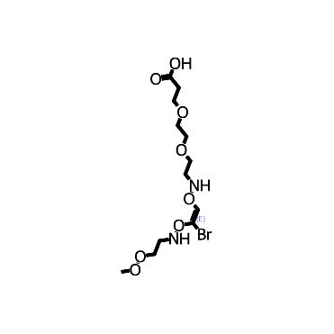 COOCCNO/C(Br)=C\ONCCOCCOCCC(=O)O